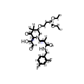 CCOP(CCOC1CN(/C=C(\C)C(=O)NCc2ccc(F)cc2F)/C(=C(/O)C=O)C(=O)C1(C)C)OCC